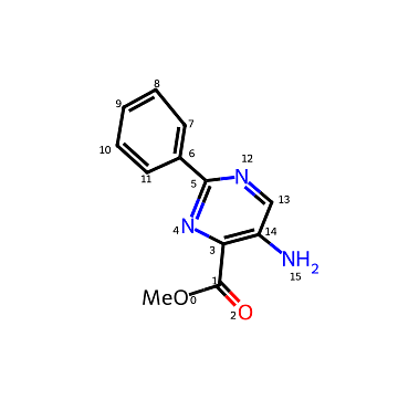 COC(=O)c1nc(-c2ccccc2)ncc1N